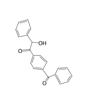 O=C(c1ccccc1)c1ccc(C(=O)C(O)c2ccccc2)cc1